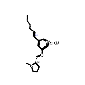 CCCC/C=C/c1cncc(OC[C@@H]2CCCN2C)c1.Cl.Cl